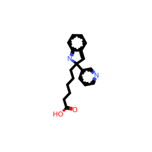 O=C(O)CCCCCC1(c2cccnc2)C=c2ccccc2=N1